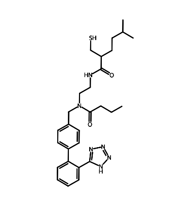 CCCC(=O)N(CCNC(=O)C(CS)CCC(C)C)Cc1ccc(-c2ccccc2-c2nnn[nH]2)cc1